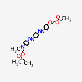 CCC(=O)OCCOc1ccc(N=Nc2ccc(N=Nc3ccc(N(CC)CCOC(=O)C(C)CC)cc3)cc2)cc1